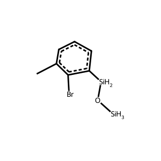 Cc1cccc([SiH2]O[SiH3])c1Br